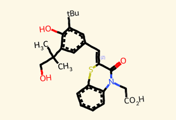 CC(C)(C)c1cc(/C=C2\Sc3ccccc3N(CC(=O)O)C2=O)cc(C(C)(C)CO)c1O